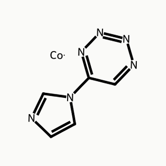 [Co].c1cn(-c2cnnnn2)cn1